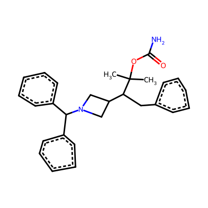 CC(C)(OC(N)=O)C(Cc1ccccc1)C1CN(C(c2ccccc2)c2ccccc2)C1